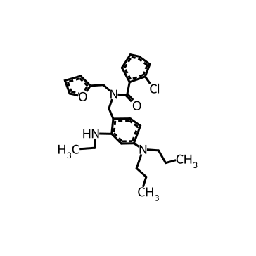 CCCN(CCC)c1ccc(CN(Cc2ccco2)C(=O)c2ccccc2Cl)c(NCC)c1